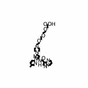 Cc1ccc(-n2nc(N3CCN(CCOCCOCCOCC(=O)O)CC3)cc2NC(=O)c2cnn3cccnc23)nc1